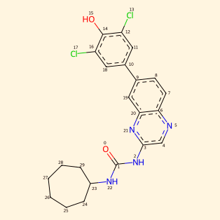 O=C(Nc1cnc2ccc(-c3cc(Cl)c(O)c(Cl)c3)cc2n1)NC1CCCCCC1